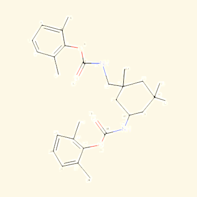 Cc1cccc(C)c1OC(=O)NCC1(C)CC(NC(=O)Oc2c(C)cccc2C)CC(C)(C)C1